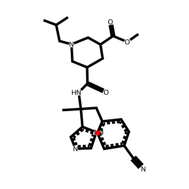 COC(=O)C1CC(C(=O)NC(C)(Cc2ccc(C#N)cc2)c2cnc[nH]2)CN(CC(C)C)C1